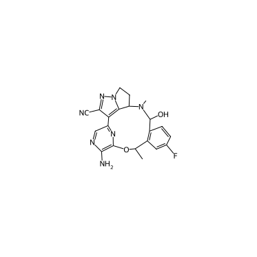 CC1Oc2nc(cnc2N)-c2c(C#N)nn3c2C(CC3)N(C)C(O)c2ccc(F)cc21